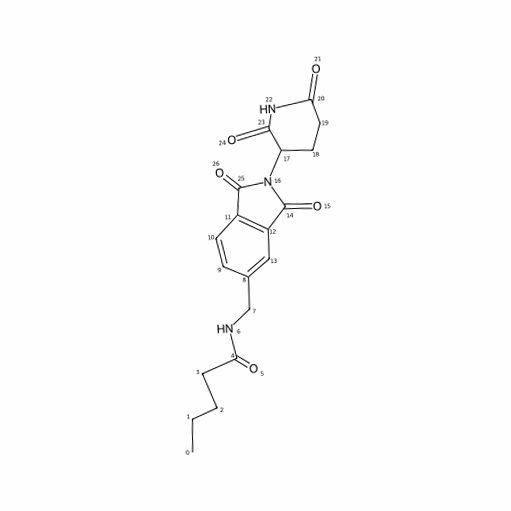 CCCCC(=O)NCc1ccc2c(c1)C(=O)N(C1CCC(=O)NC1=O)C2=O